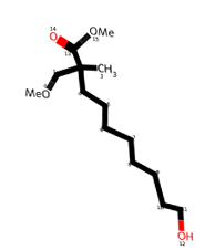 COCC(C)(CCCCCCCCO)C(=O)OC